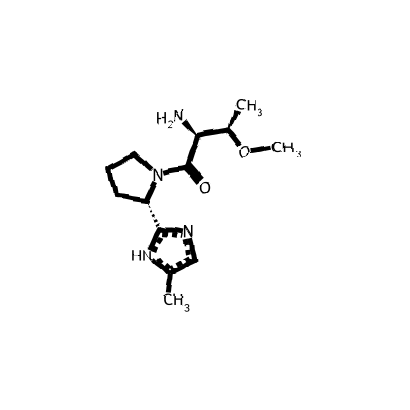 CO[C@H](C)[C@H](N)C(=O)N1CCC[C@H]1c1ncc(C)[nH]1